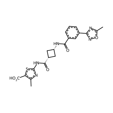 Cc1nc(-c2cccc(C(=O)N[C@H]3C[C@@H](C(=O)Nc4nc(C)c(C(=O)O)s4)C3)c2)no1